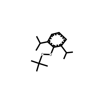 CC(C)c1cccc(C(C)C)c1OOC(C)(C)C